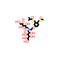 CC(=O)SCc1ccc(OCCN(C[C@H](O)[C@@H](O)[C@H](O)[C@H](O)CO)C[C@H](O)[C@@H](O)[C@H](O)[C@H](O)CO)cc1CSC(=O)C(C)C